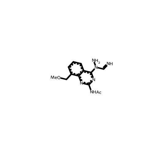 COCc1cccc2c(N(N)C=N)nc(NC(C)=O)nc12